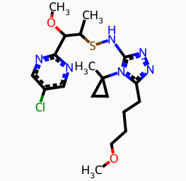 COCCCCc1nnc(NSC(C)C(OC)c2ncc(Cl)cn2)n1C1(C)CC1